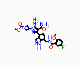 COC(=O)N1CC(n2nc(-c3ccc(CNC(=O)c4cc(F)ccc4OC)c4[nH]ncc34)c(C(N)=O)c2N)C1